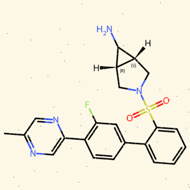 Cc1cnc(-c2ccc(-c3ccccc3S(=O)(=O)N3C[C@@H]4C(N)[C@@H]4C3)cc2F)cn1